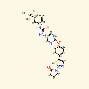 O=C(Nc1cnc(Oc2ccc(-c3cnc(N4CCCC4=O)s3)cc2)nc1)Nc1cccc(C(F)(F)F)c1